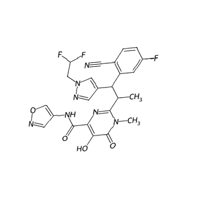 CC(c1nc(C(=O)Nc2cnoc2)c(O)c(=O)n1C)C(c1cnn(CC(F)F)c1)c1cc(F)ccc1C#N